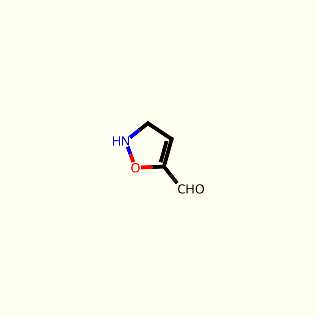 O=CC1=CCNO1